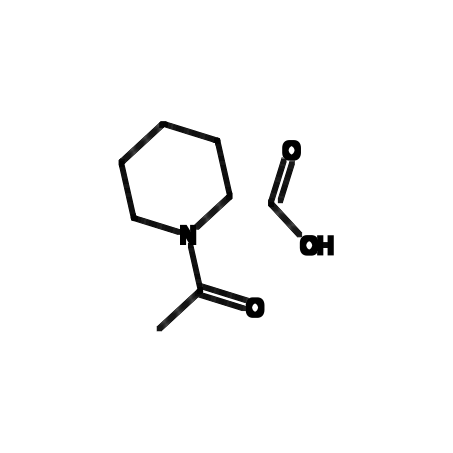 CC(=O)N1CCCCC1.O=CO